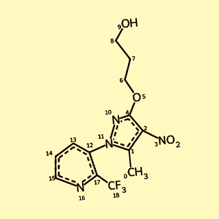 Cc1c([N+](=O)[O-])c(OCCCO)nn1-c1cccnc1C(F)(F)F